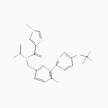 CC(C)N(Cc1ccc(F)c(-c2ccc(OC(F)(F)F)cn2)c1)C(=O)c1cn(C)cn1